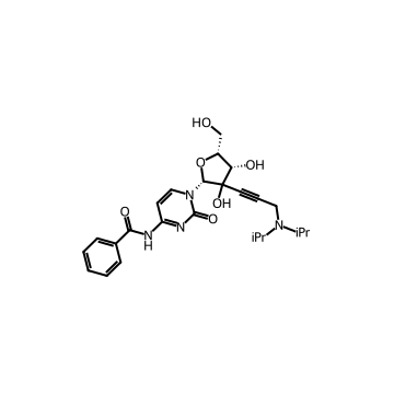 CC(C)N(CC#CC1(O)[C@@H](O)[C@@H](CO)O[C@H]1n1ccc(NC(=O)c2ccccc2)nc1=O)C(C)C